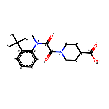 CN(C(=O)C(=O)N1CCC(C(=O)O)CC1)c1ccccc1C(C)(C)C